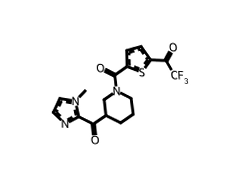 Cn1ccnc1C(=O)C1CCCN(C(=O)c2ccc(C(=O)C(F)(F)F)s2)C1